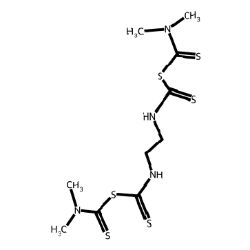 CN(C)C(=S)SC(=S)NCCNC(=S)SC(=S)N(C)C